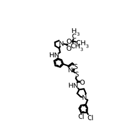 CC(C)(C)OC(=O)N1CCCC1CNc1cccc(-c2csc(SCC(=O)NC3CCN(Cc4ccc(Cl)c(Cl)c4)CC3)n2)c1